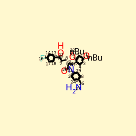 CCCCOc1ccc([C@@H]2[C@@H](CC[C@H](O)c3ccc(F)cc3)C(=O)N2c2ccc(CN)cc2)c(OCCCC)c1